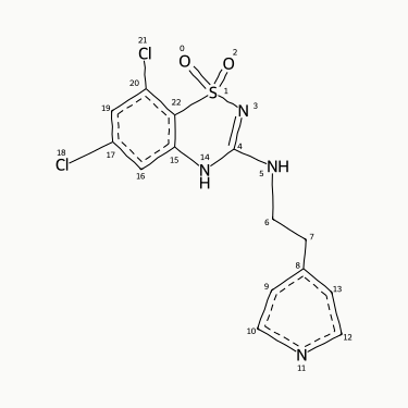 O=S1(=O)N=C(NCCc2ccncc2)Nc2cc(Cl)cc(Cl)c21